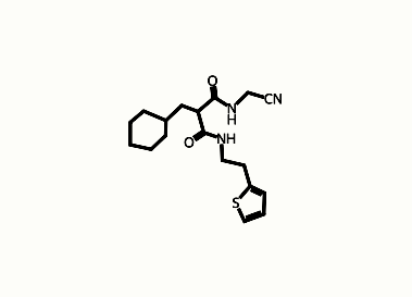 N#CCNC(=O)C(CC1CCCCC1)C(=O)NCCc1cccs1